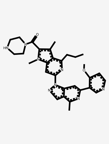 CCCc1nc(-n2ncc3c(C)nc(-c4cnccc4OC)cc32)cc2c1c(C)c(C(=O)N1CCNCC1)n2C